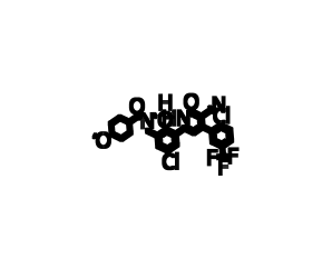 COC1CCC(C(=O)N(C)Cc2cc(Cl)cc(-c3cc(-c4cc(C(F)(F)F)ccc4Cl)c(C#N)c(=O)[nH]3)c2O)CC1